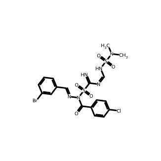 CN(C)S(=O)(=O)N/C=N\C(=N)S(=O)(=O)N(/N=C/c1cccc(Br)c1)C(=O)c1ccc(Cl)cc1